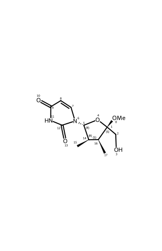 CO[C@]1(CO)O[C@@H](n2ccc(=O)[nH]c2=O)[C@H](C)[C@@H]1C